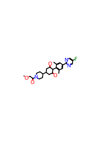 COCC(=O)N1CCC(C2CC(=O)C(c3c(C)cc(-c4ncc(F)cn4)cc3C)C(=O)C2)CC1